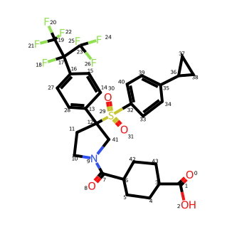 O=C(O)C1CCC(C(=O)N2CCC(c3ccc(C(F)(C(F)(F)F)C(F)(F)F)cc3)(S(=O)(=O)c3ccc(C4CC4)cc3)C2)CC1